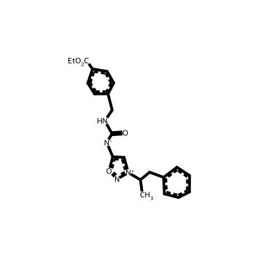 CCOC(=O)c1ccc(CNC(=O)[N-]c2c[n+](C(C)Cc3ccccc3)no2)cc1